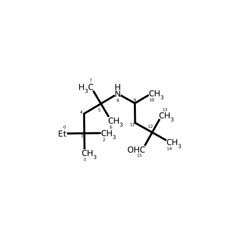 CCC(C)(C)CC(C)(C)NC(C)CC(C)(C)C=O